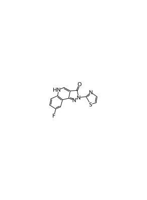 O=c1c2c[nH]c3ccc(F)cc3c-2nn1-c1nccs1